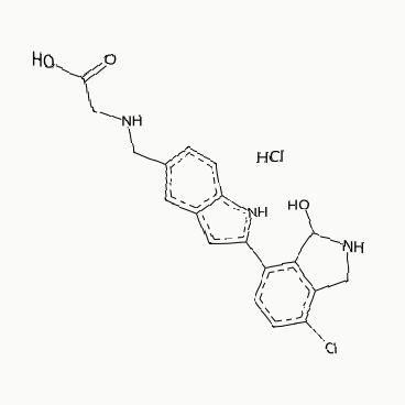 Cl.O=C(O)CNCc1ccc2[nH]c(-c3ccc(Cl)c4c3C(O)NC4)cc2c1